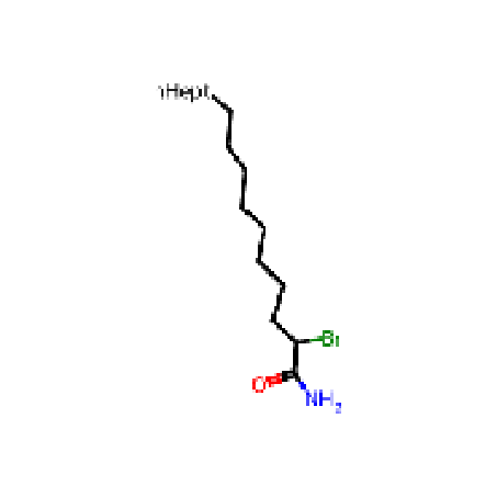 CCCCCCCCCCCCCCCC(Br)C(N)=O